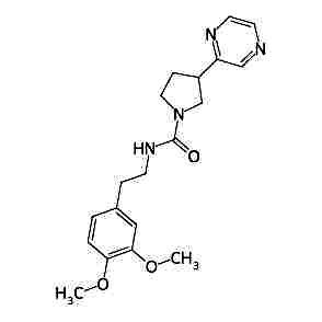 COc1ccc(CCNC(=O)N2CCC(c3cnccn3)C2)cc1OC